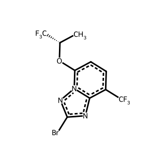 C[C@H](Oc1ccc(C(F)(F)F)c2nc(Br)nn12)C(F)(F)F